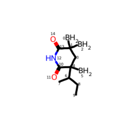 BC1(B)CC(B)(C(C)CC)C(=O)NC1=O